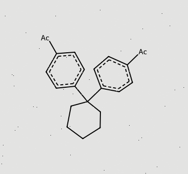 CC(=O)c1ccc(C2(c3ccc(C(C)=O)cc3)CCCCC2)cc1